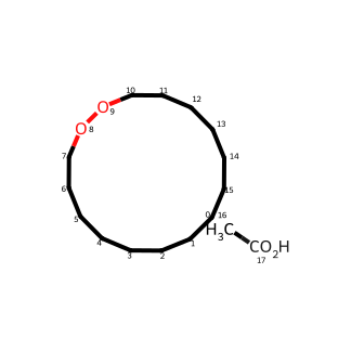 C1CCCCCCCOOCCCCCC1.CC(=O)O